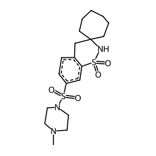 CN1CCN(S(=O)(=O)c2ccc3c(c2)S(=O)(=O)NC2(CCCCCC2)C3)CC1